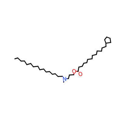 CCCCCCCCCCCCCCCCN(C)CCCOC(=O)CCCCCCCCCCCCC1CCCC1